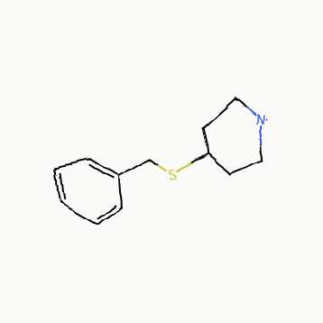 c1ccc(CSC2CC[N]CC2)cc1